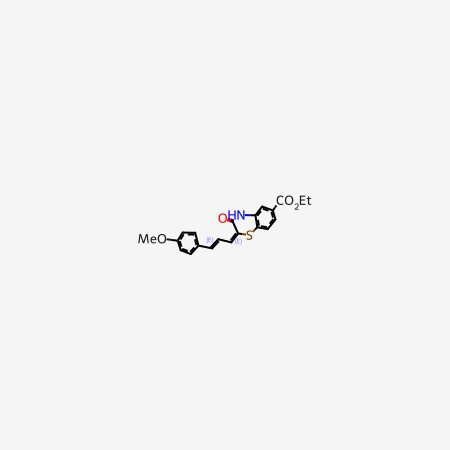 CCOC(=O)c1ccc2c(c1)NC(=O)/C(=C\C=C\c1ccc(OC)cc1)S2